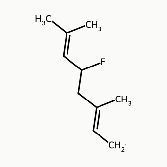 [CH2]/C=C(\C)CC(F)C=C(C)C